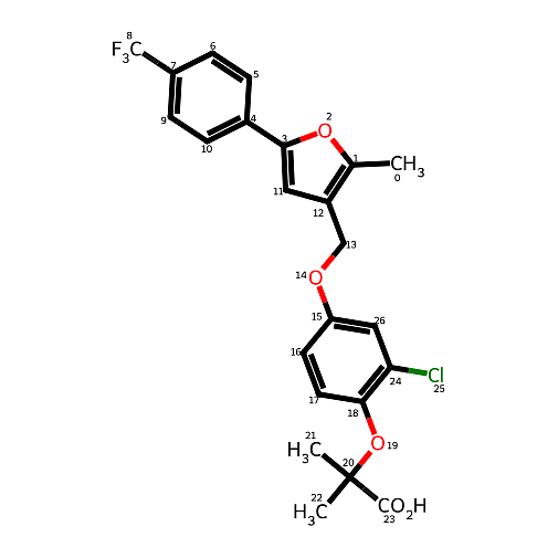 Cc1oc(-c2ccc(C(F)(F)F)cc2)cc1COc1ccc(OC(C)(C)C(=O)O)c(Cl)c1